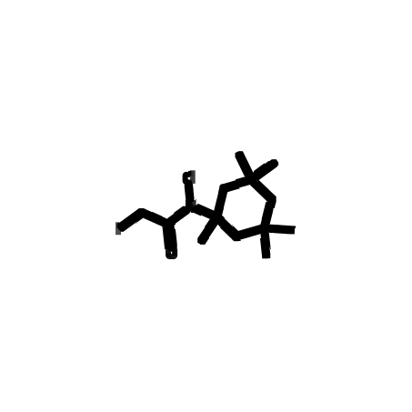 CC1(C)CC(C)(C)CC(C)(N(Cl)C(=O)CI)C1